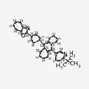 CC(C)(C)c1ccc(-c2c3ccccc3c(-c3ccc(-c4nc5ccccc5o4)cc3)c3ccccc23)cn1